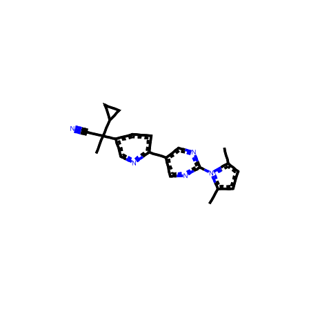 Cc1ccc(C)n1-c1ncc(-c2ccc(C(C)(C#N)C3CC3)cn2)cn1